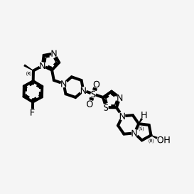 C[C@H](c1ccc(F)cc1)n1cncc1CN1CCN(S(=O)(=O)c2cnc(N3CCN4C[C@H](O)C[C@H]4C3)s2)CC1